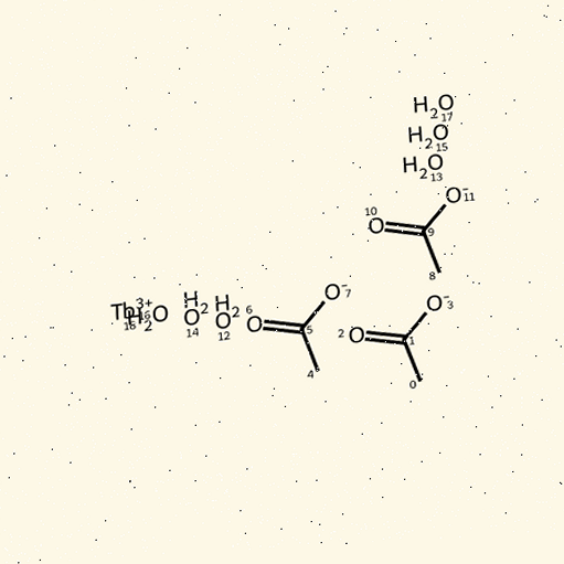 CC(=O)[O-].CC(=O)[O-].CC(=O)[O-].O.O.O.O.O.O.[Tb+3]